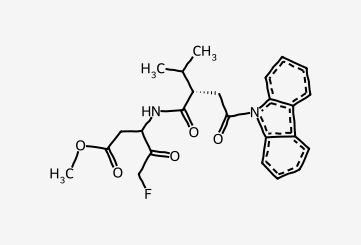 COC(=O)CC(NC(=O)[C@@H](CC(=O)n1c2ccccc2c2ccccc21)C(C)C)C(=O)CF